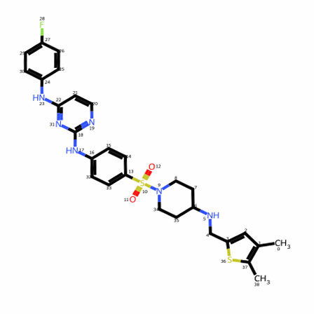 Cc1cc(CNC2CCN(S(=O)(=O)c3ccc(Nc4nccc(Nc5ccc(F)cc5)n4)cc3)CC2)sc1C